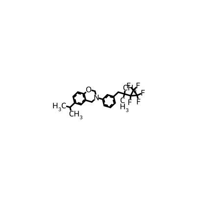 CC(C)c1ccc2c(c1)CN(c1cccc(CC(C)(C)C3(F)C(F)(F)C3(F)F)c1)CO2